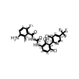 Nc1ccc(F)c(C(=O)NC(=O)Nc2ccc(Cl)c(-c3ncc(C(F)(F)F)cc3Cl)c2O)c1F